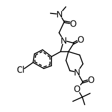 CN(C)C(=O)CN1C(=O)C2(CCN(C(=O)OC(C)(C)C)CC2)C1c1ccc(Cl)cc1